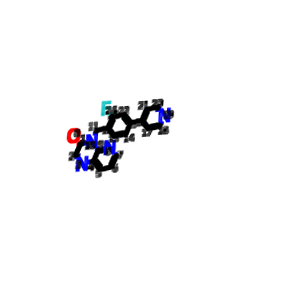 O=c1cnc2cccnc2n1Cc1ccc(-c2ccncc2)cc1F